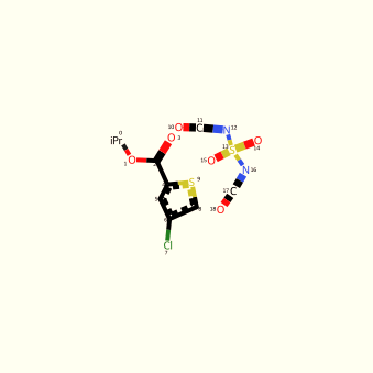 CC(C)OC(=O)c1cc(Cl)cs1.O=C=NS(=O)(=O)N=C=O